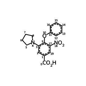 O=C(O)c1cc(N2CCCC2)c(Oc2ccccc2)c([N+](=O)[O-])c1